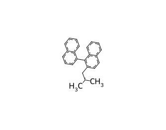 C[C](C)Cc1ccc2ccccc2c1-c1cccc2ccccc12